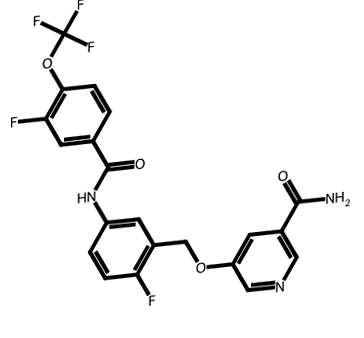 NC(=O)c1cncc(OCc2cc(NC(=O)c3ccc(OC(F)(F)F)c(F)c3)ccc2F)c1